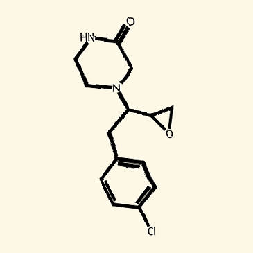 O=C1CN(C(Cc2ccc(Cl)cc2)C2CO2)CCN1